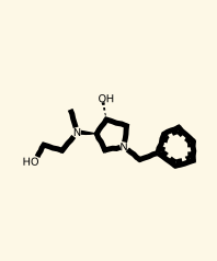 CN(CCO)[C@@H]1CN(Cc2ccccc2)C[C@H]1O